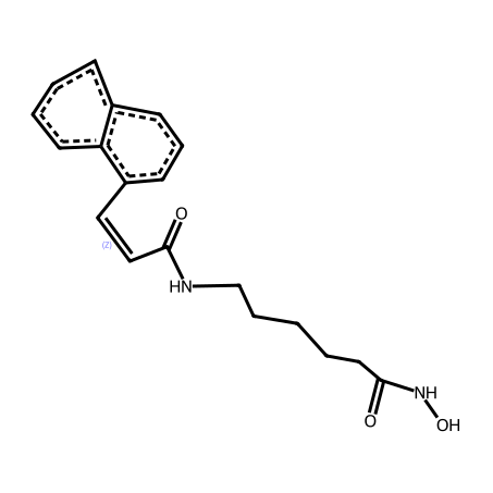 O=C(/C=C\c1cccc2ccccc12)NCCCCCC(=O)NO